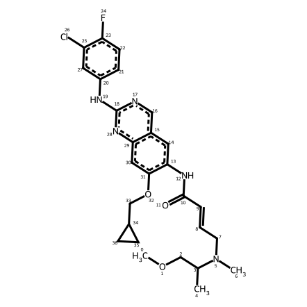 COCC(C)N(C)CC=CC(=O)Nc1cc2cnc(Nc3ccc(F)c(Cl)c3)nc2cc1OCC1CC1